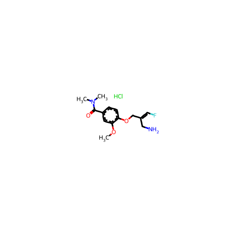 COc1cc(C(=O)N(C)C)ccc1OC/C(=C/F)CN.Cl